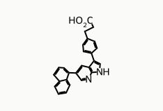 O=C(O)CCc1ccc(-c2c[nH]c3ncc(-c4cccc5ccccc45)cc23)cc1